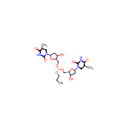 Cc1cn([C@H]2CC(O)[C@@H](COP(OCCC#N)OC[C@H]3O[C@@H](n4cc(C)c(=O)[nH]c4=O)CC3O)O2)c(=O)[nH]c1=O